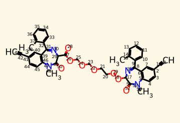 C#Cc1ccc2c(c1)C(c1ccccc1C)=NC(OOCCOCOCOC(=O)C1N=C(c3ccccc3C)c3cc(C#C)ccc3N(C)C1=O)C(=O)N2C